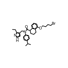 CCc1n[nH]cc1CN(C(=O)C1CCCc2c(OCCCCBr)cccc21)c1ccc(C(C)C)cc1